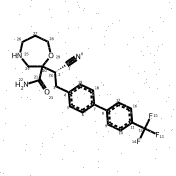 N#C[C@H](Cc1ccc(-c2ccc(C(F)(F)F)cc2)cc1)C1(C(N)=O)CNCCCO1